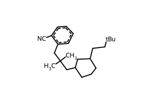 CC(C)(C)CCC1CCCC(CC(C)(C)Cc2ccccc2C#N)C1